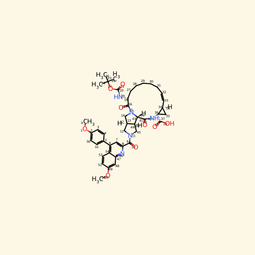 COc1ccc(-c2cc(C(=O)N3C[C@H]4CN5C(=O)[C@H](NC(=O)OC(C)(C)C)CCCCC/C=C\[C@H]6C[C@@]6(C(=O)O)NC(=O)[C@@H]5[C@H]4C3)nc3cc(OC)ccc23)cc1